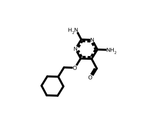 Nc1nc(N)c(C=O)c(OCC2CCCCC2)n1